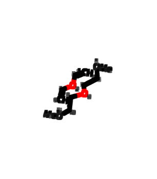 C=COC=C.COCCOCCOC